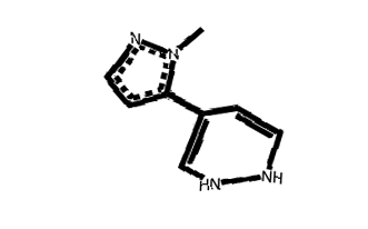 Cn1nccc1C1=CNNC=C1